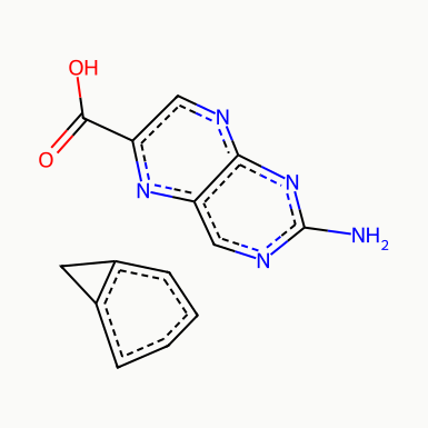 Nc1ncc2nc(C(=O)O)cnc2n1.c1ccc2c(c1)C2